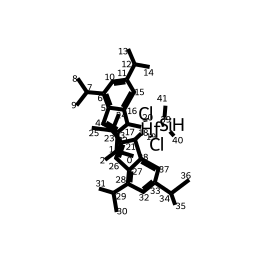 CC(C)C1=Cc2c(C(C)C)cc(C(C)C)cc2[CH]1[Hf]([Cl])([Cl])([CH]1C(C(C)C)=Cc2c(C(C)C)cc(C(C)C)cc21)[SiH](C)C